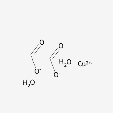 O.O.O=C[O-].O=C[O-].[Cu+2]